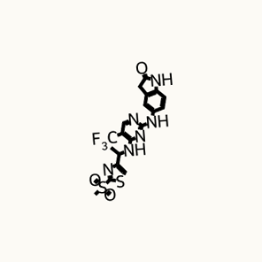 CC(Nc1nc(Nc2ccc3c(c2)CC(=O)N3)ncc1C(F)(F)F)c1csc(S(C)(=O)=O)n1